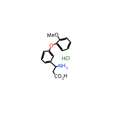 COc1ccccc1Oc1cccc(C(N)CC(=O)O)c1.Cl